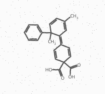 CC1=CC(=C2C=CC(C(=O)O)(C(=O)O)C=C2)C(C)(c2ccccc2)C=C1